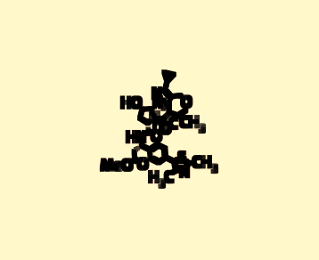 COC(=O)C[C@H](NC(=O)[C@@H]1C[C@@H](O)CN1C(=O)[C@H]1n2nnc(C3CC3)c2COCC1(C)C)c1ccc(-c2sc(C)nc2C)cc1